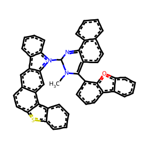 CN1C(c2cccc3c2oc2ccccc23)=c2ccc3ccccc3c2=NC1n1c2ccccc2c2cc3ccc4sc5ccccc5c4c3cc21